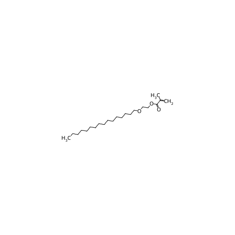 C=C(C)C(=O)OCCOCCCCCCCCCCCCCCCC